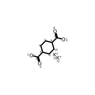 O=C([O-])C1CCC(C(=O)[O-])CC1.[K+].[K+]